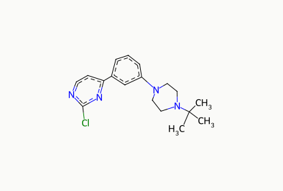 CC(C)(C)N1CCN(c2cccc(-c3ccnc(Cl)n3)c2)CC1